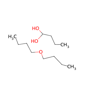 CCCC(O)O.CCCCOCCCC